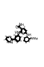 CNC1CCCC[C@H]1Nc1ccc(C(N)=O)c(Nc2cccc(-c3ncccn3)c2)n1